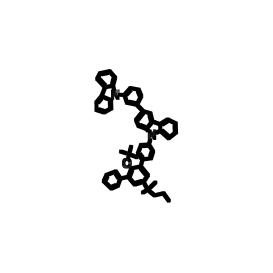 CCCC(C)(C)c1cc(-c2ccccc2)c(OC(C)(C)C)c(-c2ccc(-n3c4ccccc4c4cc(-c5cccc(-n6c7ccccc7c7ccccc76)c5)ccc43)cc2)c1